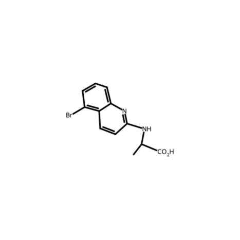 CC(Nc1ccc2c(Br)cccc2n1)C(=O)O